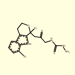 CCc1cccc2c3c([nH]c12)C(CC)(CC(=O)CNC(=S)NN)OCC3